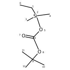 CC[Si](C)(C)OC(=O)OC(C)(C)C